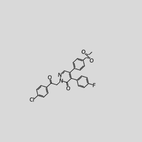 CS(=O)(=O)c1ccc(-c2cnn(CC(=O)c3ccc(Cl)cc3)c(=O)c2-c2ccc(F)cc2)cc1